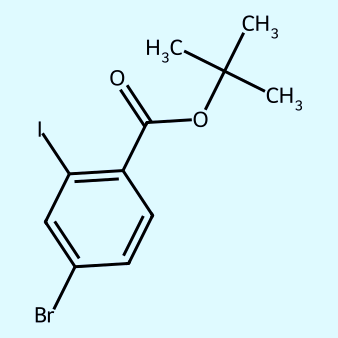 CC(C)(C)OC(=O)c1ccc(Br)cc1I